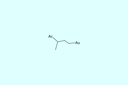 CC(=O)C(C)C[CH2][Au]